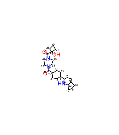 O=C(C1CCC(C2CCC3CCCC3N2)CC1)N1CCN(C(=O)C2(O)CCC2)CC1